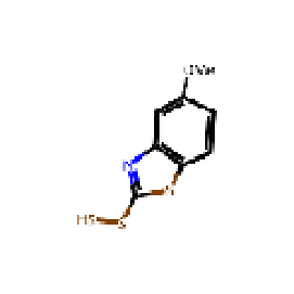 COc1ccc2sc(SS)nc2c1